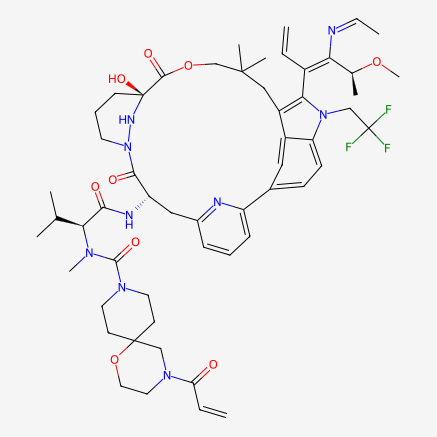 C=CC(=O)N1CCOC2(CCN(C(=O)N(C)[C@H](C(=O)N[C@H]3Cc4cccc(n4)-c4ccc5c(c4)c(c(/C(C=C)=C(/N=C\C)[C@H](C)OC)n5CC(F)(F)F)CC(C)(C)COC(=O)[C@@]4(O)CCCN(N4)C3=O)C(C)C)CC2)C1